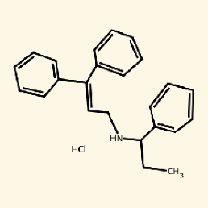 CCC(NCC=C(c1ccccc1)c1ccccc1)c1ccccc1.Cl